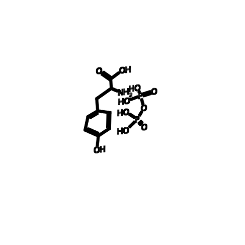 NC(Cc1ccc(O)cc1)C(=O)O.O=P(O)(O)OP(=O)(O)O